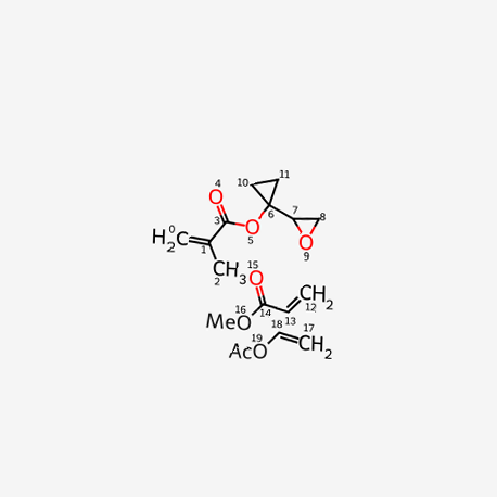 C=C(C)C(=O)OC1(C2CO2)CC1.C=CC(=O)OC.C=COC(C)=O